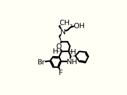 CCN(CCO)C[C@H]1CC[C@@H]2[C@H](O1)c1cc(Br)cc(F)c1N[C@H]2C1C=CC=CC1